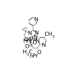 CCCO[C@@H](c1ncc(C)cn1)[C@H](C)S(=O)(=O)Nc1nnc(-c2cccnc2)n1C1(COC)CC1